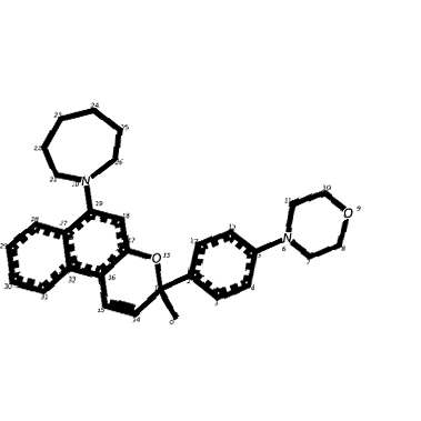 CC1(c2ccc(N3CCOCC3)cc2)C=Cc2c(cc(N3CCCCCC3)c3ccccc23)O1